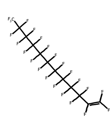 FC(F)=C(F)C(F)(F)C(F)(F)C(F)(F)C(F)(F)C(F)(F)C(F)(F)C(F)(F)C(F)(F)C(F)(F)C(F)(F)F